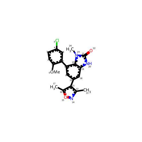 COc1ccc(Cl)cc1-c1cc(-c2c(C)noc2C)cc2[nH]c(=O)n(C)c12